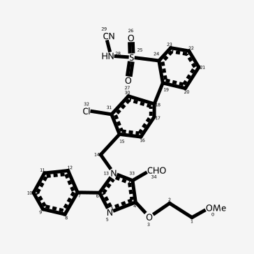 COCCOc1nc(-c2ccccc2)n(Cc2ccc(-c3ccccc3S(=O)(=O)NC#N)cc2Cl)c1C=O